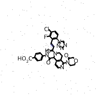 O=C(O)c1ccc(NC(=O)C2c3ccnc(N4CCOCC4=O)c3CCN2C(=O)/C=C/c2c(-n3cnnn3)ccc(Cl)c2F)cc1